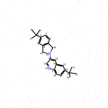 CC(C)(C)c1ccc2c(c1)CN(c1cnc3ccc(C(C)(C)C)cc3c1)C2